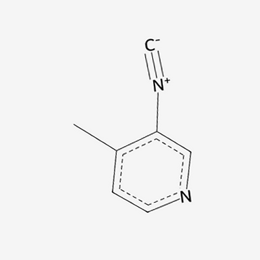 [C-]#[N+]c1cnccc1C